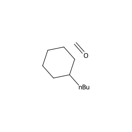 C=O.CCCCC1CCCCC1